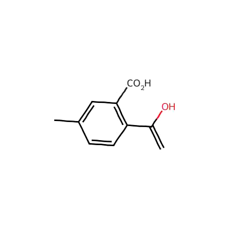 C=C(O)c1ccc(C)cc1C(=O)O